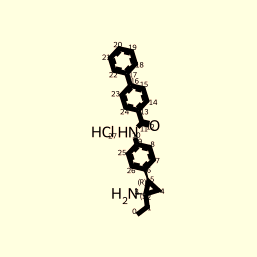 CC[C@]1(N)C[C@@H]1c1ccc(NC(=O)c2ccc(-c3ccccc3)cc2)cc1.Cl